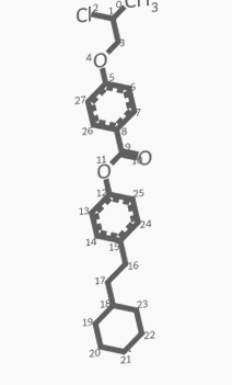 CC(Cl)COc1ccc(C(=O)Oc2ccc(CCC3CC[CH]CC3)cc2)cc1